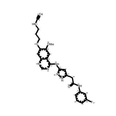 C#CNCCCOc1cc2ncnc(Nc3cc(CC(=O)Nc4cccc(F)c4)[nH]n3)c2cc1OC